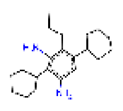 CCCc1c(C2CCCCC2)cc(N)c(C2CCCCC2)c1N